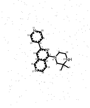 CC1(C)CN(c2nc(-c3ccncc3)cc3cnccc23)CCN1